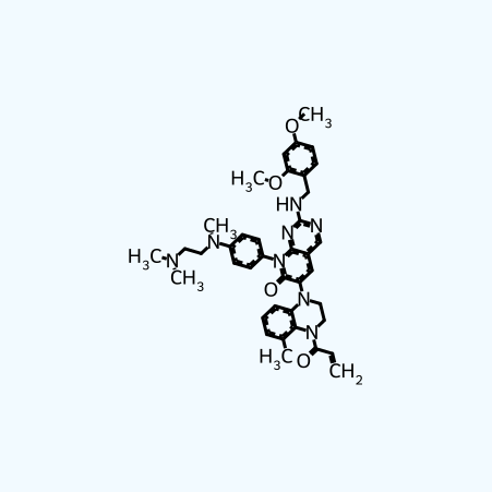 C=CC(=O)N1CCN(c2cc3cnc(NCc4ccc(OC)cc4OC)nc3n(-c3ccc(N(C)CCN(C)C)cc3)c2=O)c2cccc(C)c21